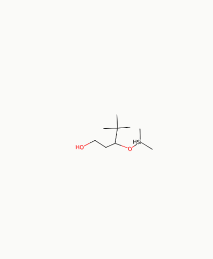 C[SiH](C)OC(CCO)C(C)(C)C